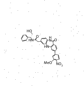 COc1cc(-c2ccc3c(c2)Nc2cc(CC(=O)N[C@@H](CO)c4ccccc4)ccc2NC3=O)ccc1[N+](=O)[O-]